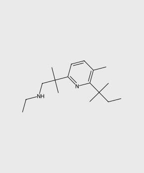 CCNCC(C)(C)c1ccc(C)c(C(C)(C)CC)n1